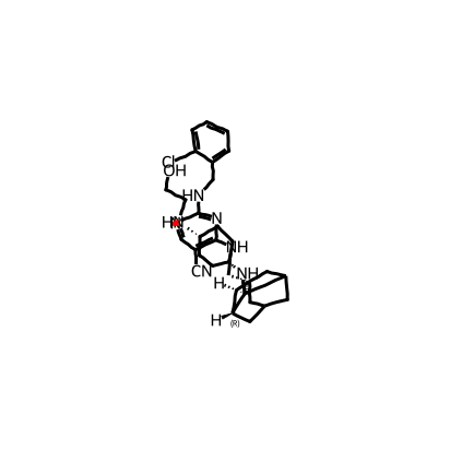 N#Cc1cnc(NCc2ccccc2Cl)nc1NC[C@@]12CC3CC(C1)[C@H](N[C@H]1CC[C@@H](NCCO)CC1)[C@H](C3)C2